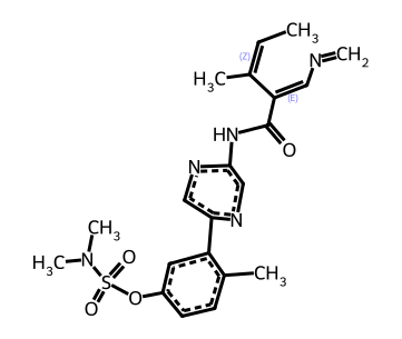 C=N/C=C(C(=O)Nc1cnc(-c2cc(OS(=O)(=O)N(C)C)ccc2C)cn1)\C(C)=C/C